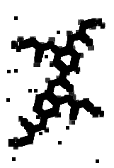 C=CC(=O)Oc1ccc(OC(=O)c2ccc(OC(=O)C=C)c(OC(=O)C=C)c2)c(OC(=O)C=C)c1